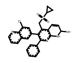 O=S(=O)(Cc1c2c(nc(-c3ccccc3)c1-c1cc(Cl)c3ncccc3c1)NC(O)C=C2)C1CC1